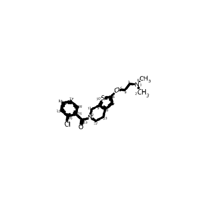 CN(C)CCOc1cc2c(s1)CN(C(=O)c1ccccc1Cl)CC2